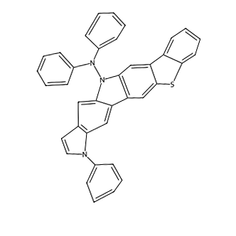 c1ccc(N(c2ccccc2)n2c3cc4ccn(-c5ccccc5)c4cc3c3cc4sc5ccccc5c4cc32)cc1